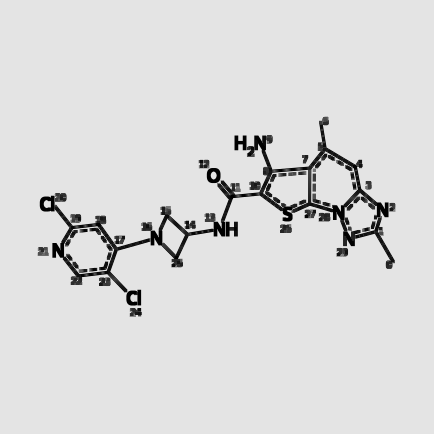 Cc1nc2cc(C)c3c(N)c(C(=O)NC4CN(c5cc(Cl)ncc5Cl)C4)sc3n2n1